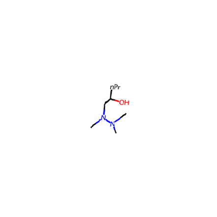 CCCC(O)CN(C)N(C)C